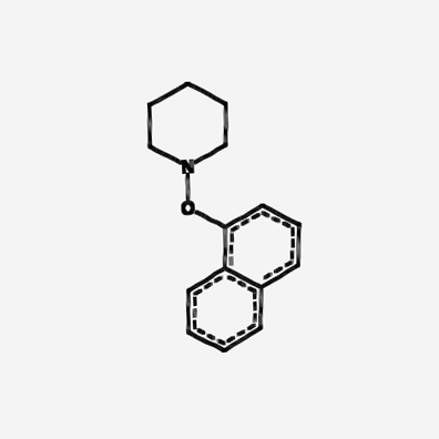 c1ccc2c(ON3CCCCC3)cccc2c1